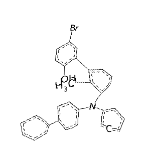 Cc1c(-c2cc(Br)ccc2O)cccc1N(c1ccccc1)c1ccc(-c2ccccc2)cc1